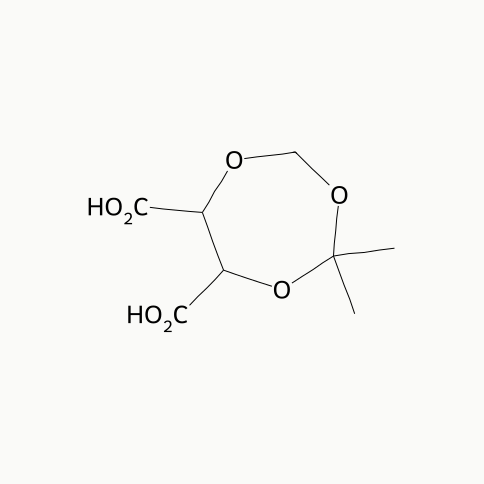 CC1(C)OCOC(C(=O)O)C(C(=O)O)O1